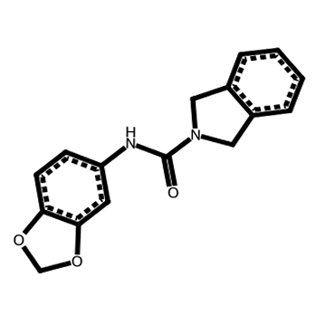 O=C(Nc1ccc2c(c1)OCO2)N1Cc2ccccc2C1